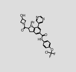 CC(C)N1c2c(cc(C(=O)Nc3ccc(OC(F)(F)Cl)cc3)cc2-c2cncnc2)CC1C(=O)N1CC(O)C1